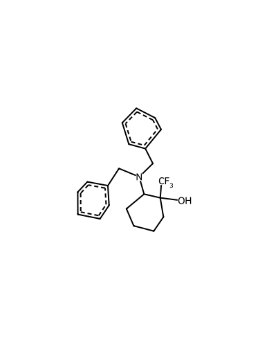 OC1(C(F)(F)F)CCCCC1N(Cc1ccccc1)Cc1ccccc1